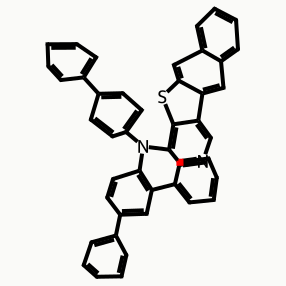 c1ccc(-c2ccc(N(c3ccc(-c4ccccc4)cc3-c3ccccc3)c3cncc4c3sc3cc5ccccc5cc34)cc2)cc1